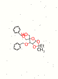 CCC1(C)OC2OC(CO)(COCc3ccccc3)C(OCc3ccccc3)C2O1